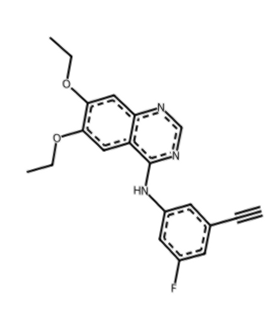 C#Cc1cc(F)cc(Nc2ncnc3cc(OCC)c(OCC)cc23)c1